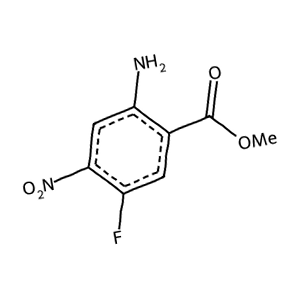 COC(=O)c1cc(F)c([N+](=O)[O-])cc1N